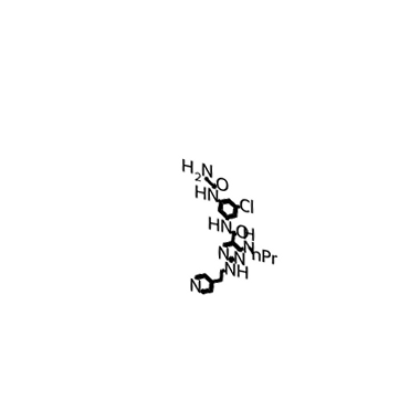 CCCNc1nc(NCCc2ccncc2)ncc1C(=O)Nc1cc(Cl)cc(NC(=O)CN)c1